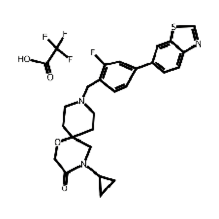 O=C(O)C(F)(F)F.O=C1COC2(CCN(Cc3ccc(-c4ccc5ncsc5c4)cc3F)CC2)CN1C1CC1